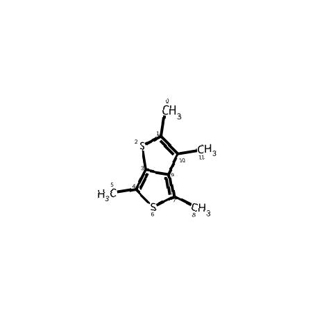 Cc1sc2c(C)sc(C)c2c1C